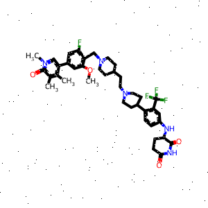 COc1cc(-c2cn(C)c(=O)c(C)c2C)cc(F)c1CN1CCC(CCN2CCC(c3ccc(NC4CCC(=O)NC4=O)cc3C(F)(F)F)CC2)CC1